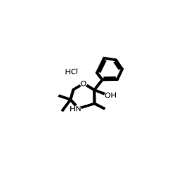 CC1NC(C)(C)COC1(O)c1ccccc1.Cl